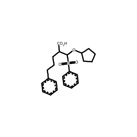 O=C(O)C(CCCc1ccccc1)C(OC1CCCC1)S(=O)(=O)c1ccccc1